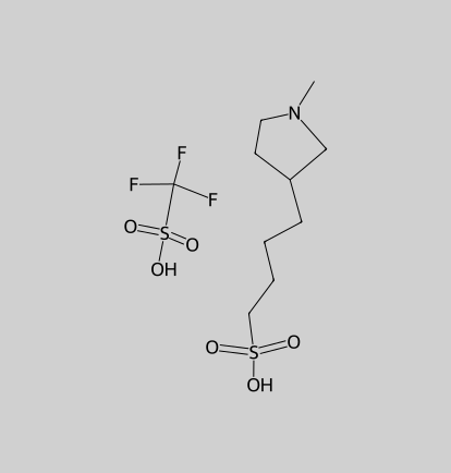 CN1CCC(CCCCS(=O)(=O)O)C1.O=S(=O)(O)C(F)(F)F